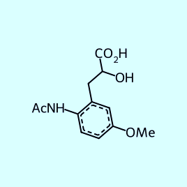 COc1ccc(NC(C)=O)c(CC(O)C(=O)O)c1